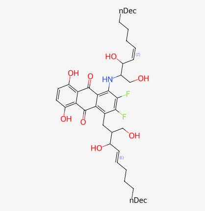 CCCCCCCCCCCCC/C=C\C(O)C(CO)Nc1c(F)c(F)c(CC(CO)C(O)/C=C/CCCCCCCCCCCCC)c2c1C(=O)c1c(O)ccc(O)c1C2=O